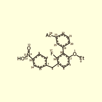 CCOc1ccc(Cc2ccc([N+](=O)O)cc2)c(F)c1-c1cccc(C(C)=O)c1